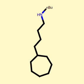 CCCCNCCCCC1CC[CH]CCC1